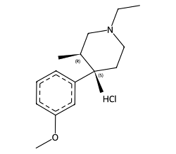 CCN1CC[C@](C)(c2cccc(OC)c2)[C@@H](C)C1.Cl